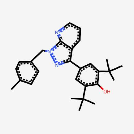 Cc1ccc(Cn2nc(-c3cc(C(C)(C)C)c(O)c(C(C)(C)C)c3)c3cccnc32)cc1